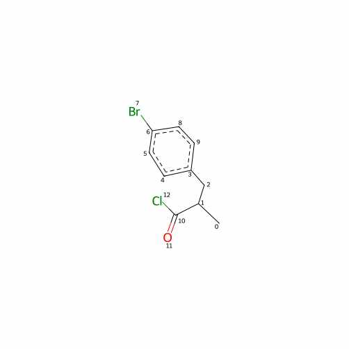 CC(Cc1ccc(Br)cc1)C(=O)Cl